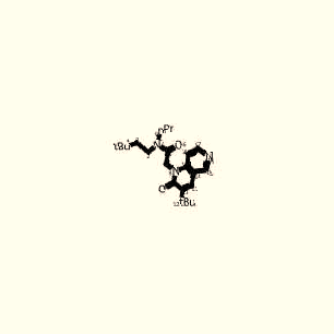 CCCN(CCC(C)(C)C)C(=O)Cn1c(=O)c(C(C)(C)C)cc2cnccc21